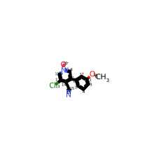 COc1cccc(-c2c[n+]([O-])cc(Cl)c2C#N)c1